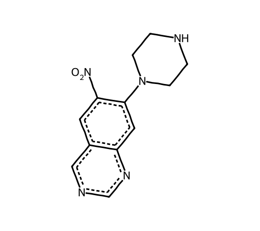 O=[N+]([O-])c1cc2cncnc2cc1N1CCNCC1